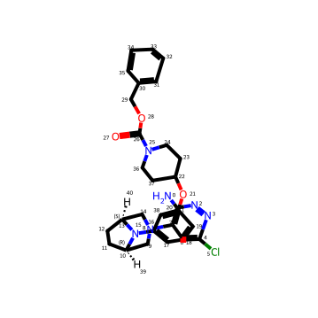 Nc1nnc(Cl)cc1N1C[C@H]2CC[C@@H](C1)N2c1cccc(OC2CCN(C(=O)OCc3ccccc3)CC2)c1